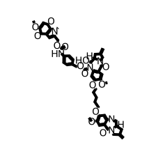 C=C1C[C@H]2C=Nc3cc(OCCCCCOc4cc5c(cc4OC)C(=O)N4CC(=C)C[C@H]4C(O)N5C(=O)OCc4ccc(NC(=O)OCc5cc6c(n5C)C(=O)C=C(OC)C6=O)cc4)c(OC)cc3C(=O)N2C1